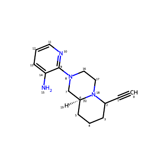 C#CC1CCC[C@H]2CN(c3ncccc3N)CCN12